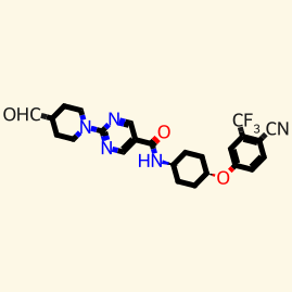 N#Cc1ccc(O[C@H]2CC[C@H](NC(=O)c3cnc(N4CCC(C=O)CC4)nc3)CC2)cc1C(F)(F)F